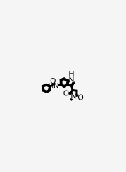 CN1C(=O)CC(c2c[nH]c3ccc(NC(=O)c4ccccc4)cc23)C1=O